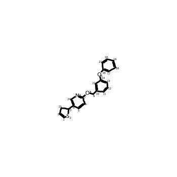 C1=CSC(c2ccc(OCc3cccc(Oc4ccccc4)c3)nc2)C1